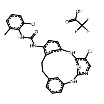 Cc1cccc(Cl)c1NC(=O)Nc1ccc2cc1CCc1cccc(c1)Nc1ncc(Cl)c(n1)N2.O=C(O)C(F)(F)F